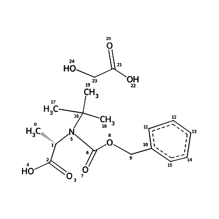 C[C@@H](C(=O)O)N(C(=O)OCc1ccccc1)C(C)(C)C.O=C(O)CO